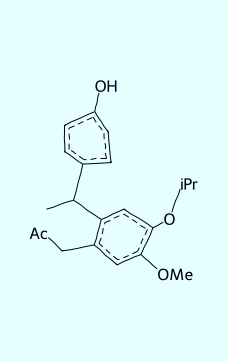 COc1cc(CC(C)=O)c(C(C)c2ccc(O)cc2)cc1OC(C)C